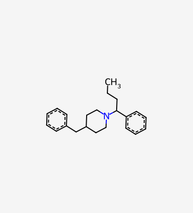 CCCC(c1ccccc1)N1CCC(Cc2ccccc2)CC1